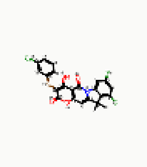 CC1(C)c2c(F)cc(F)cc2-n2c1cc1oc(=O)c(Sc3cccc(Cl)c3)c(O)c1c2=O